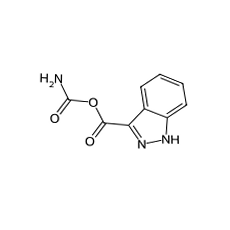 NC(=O)OC(=O)c1n[nH]c2ccccc12